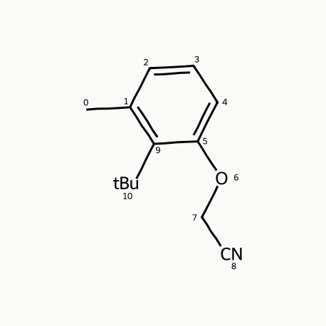 Cc1cccc(OCC#N)c1C(C)(C)C